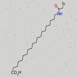 O=C(O)CCCCCCCCCCCCCCCCCCCNC(=O)CBr